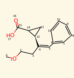 COCCC(=Cc1ccccc1)[C@@H]1CC1C(=O)O